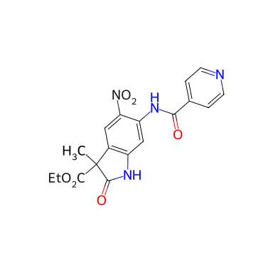 CCOC(=O)C1(C)C(=O)Nc2cc(NC(=O)c3ccncc3)c([N+](=O)[O-])cc21